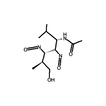 CC(=O)N[C@@H](C(C)C)C(N=O)[C@@H](N=O)[C@H](C)CO